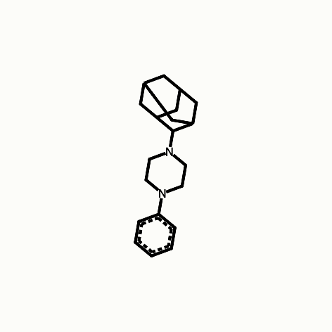 c1ccc(N2CCN(C3C4CC5CC(C4)CC3C5)CC2)cc1